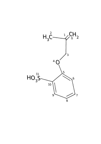 C=C(C)COc1ccccc1S(=O)(=O)O